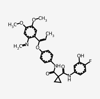 C=Nc1cc(OC)c(OC)cc1/C(=C\C)Oc1ccc(NC(=O)C2(C(=O)Nc3ccc(F)c(O)c3)CC2)cc1